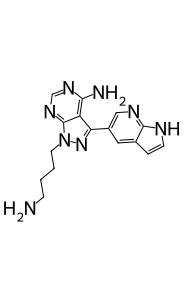 NCCCCn1nc(-c2cnc3[nH]ccc3c2)c2c(N)ncnc21